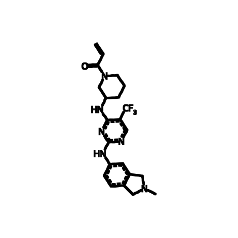 C=CC(=O)N1CCCC(Nc2nc(Nc3ccc4c(c3)CN(C)C4)ncc2C(F)(F)F)C1